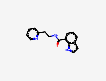 O=C(NCCc1ccccn1)c1cccc2[c]c[nH]c12